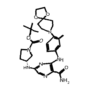 Cc1cc(Nc2nc(N[C@@H]3CCN(C(=O)OC(C)(C)C)C3)cnc2C(N)=O)ccc1N1CCC2(CC1)OCCO2